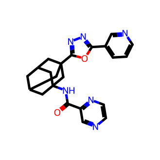 O=C(NC12CC3CC(C1)CC(c1nnc(-c4cccnc4)o1)(C3)C2)c1cnccn1